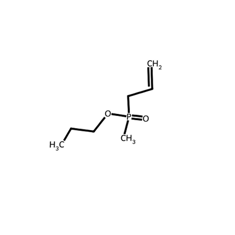 C=CCP(C)(=O)OCCC